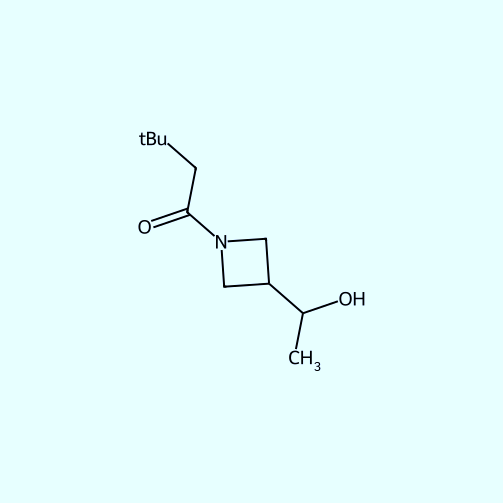 CC(O)C1CN(C(=O)CC(C)(C)C)C1